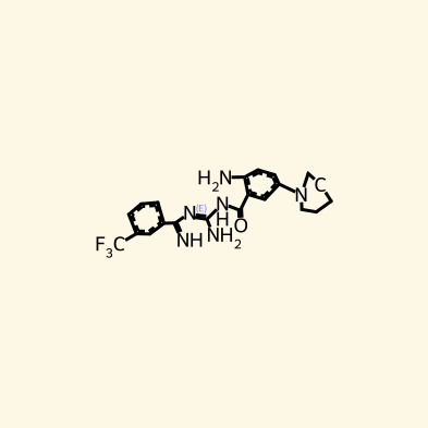 N=C(/N=C(\N)NC(=O)c1cc(N2CCCCC2)ccc1N)c1cccc(C(F)(F)F)c1